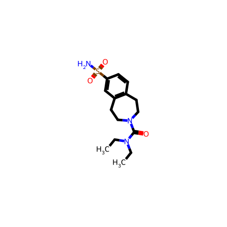 CCN(CC)C(=O)N1CCc2ccc(S(N)(=O)=O)cc2CC1